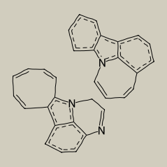 C1=Cc2cccc3c4ccccc4n(c23)C=C1.C1=Nc2cccc3c4c(n(c23)C1)\C=C/C=C\C=C/4